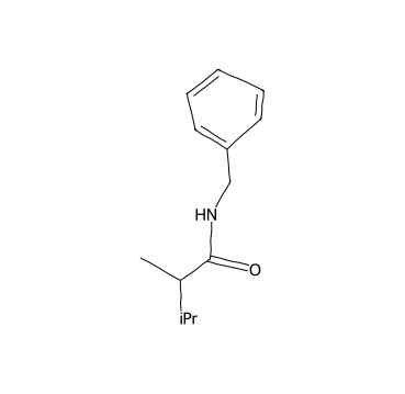 CC(C)C(C)C(=O)NCc1ccccc1